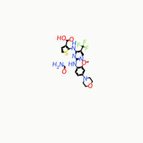 COc1cc(N2CCOCC2)ccc1Nc1ncc(C(F)(F)F)c(Nc2sccc2C(=O)O)n1.NC=O